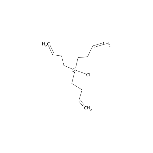 C=CCC[Si](Cl)(CCC=C)CCC=C